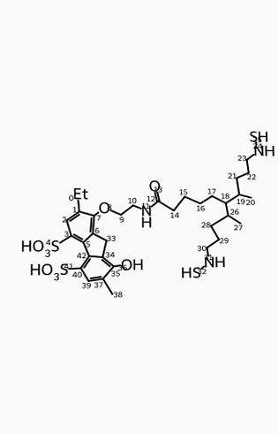 CCc1cc(S(=O)(=O)O)c2c(c1OCCNC(=O)CCCCC(C(C)CCCNS)C(C)CCCNS)Cc1c(O)c(C)cc(S(=O)(=O)O)c1-2